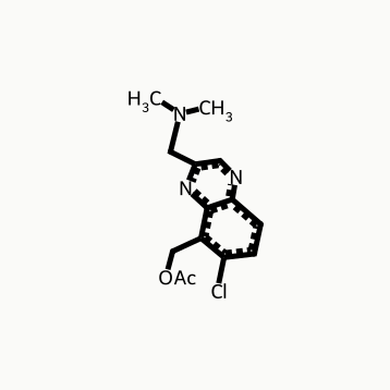 CC(=O)OCc1c(Cl)ccc2ncc(CN(C)C)nc12